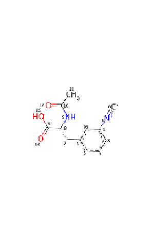 [C-]#[N+]c1cccc(C[C@@H](NC(C)=O)C(=O)O)c1